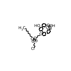 CCCCCCCCOP(=O)(OCCCCl)OCCCCl.O=P(O)(Oc1ccccc1)Oc1ccccc1.Oc1ccc(-c2ccccc2)cc1